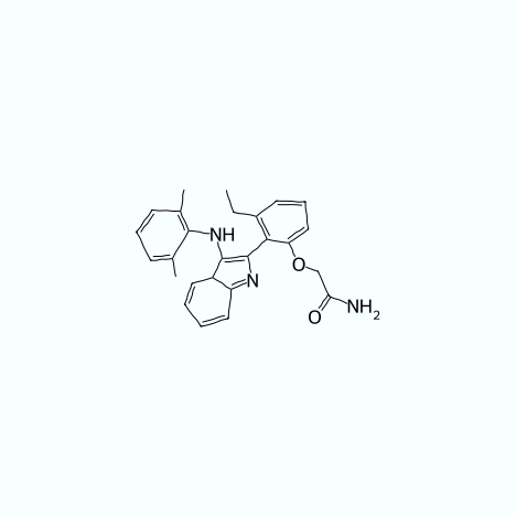 CCc1cccc(OCC(N)=O)c1C1=C(Nc2c(C)cccc2C)C2C=CC=CC2=N1